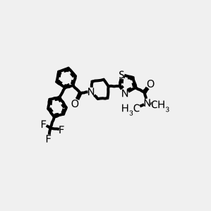 CN(C)C(=O)c1csc(C2CCN(C(=O)c3ccccc3-c3ccc(C(F)(F)F)cc3)CC2)n1